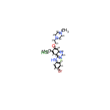 COc1cc2c(Nc3ccc(Br)cc3F)ncnc2cc1OCCN1CCN(C)CC1.Cl